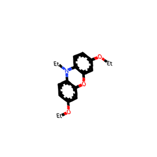 CCOc1ccc2c(c1)Oc1cc(OCC)ccc1N2CC